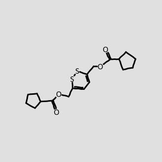 O=C(OCC1=CC=C(COC(=O)C2CCCC2)SS1)C1CCCC1